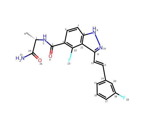 C[C@H](NC(=O)c1ccc2[nH]nc(/C=C/c3cccc(F)c3)c2c1F)C(N)=O